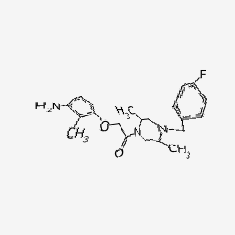 Cc1c(N)cccc1OCC(=O)N1CC(C)N(Cc2ccc(F)cc2)CC1C